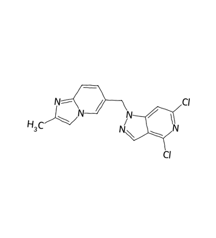 Cc1cn2cc(Cn3ncc4c(Cl)nc(Cl)cc43)ccc2n1